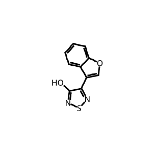 Oc1nsnc1-c1coc2ccccc12